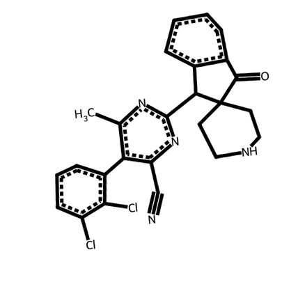 Cc1nc(C2c3ccccc3C(=O)C23CCNCC3)nc(C#N)c1-c1cccc(Cl)c1Cl